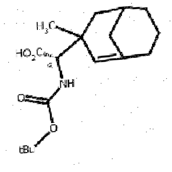 CC(C)(C)OC(=O)N[C@H](C(=O)O)C1(C)C=C2CCCC(C2)C1